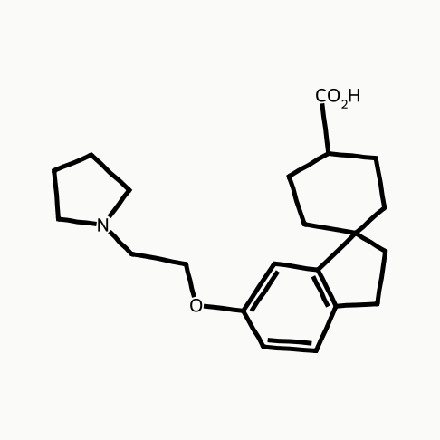 O=C(O)C1CCC2(CCc3ccc(OCCN4CCCC4)cc32)CC1